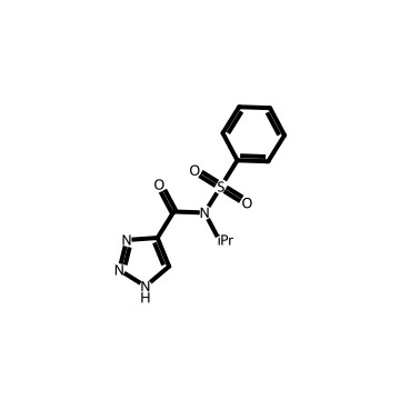 CC(C)N(C(=O)c1c[nH]nn1)S(=O)(=O)c1ccccc1